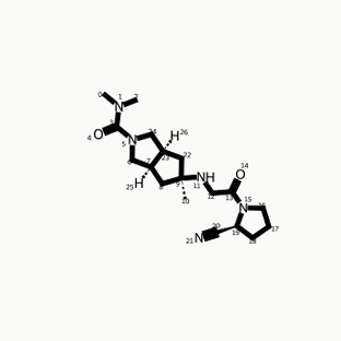 CN(C)C(=O)N1C[C@@H]2C[C@](C)(NCC(=O)N3CCC[C@H]3C#N)C[C@@H]2C1